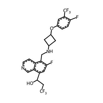 OC(CC(F)(F)F)c1cc(F)c(CNC2CC(Oc3ccc(F)c(C(F)(F)F)c3)C2)c2ccncc12